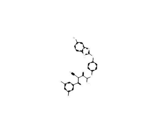 CC(Oc1ccc(Oc2nc3cc(Br)ccc3[nH]2)cc1)C(=O)C(C#N)C(=O)c1cc(Cl)cc(Cl)c1